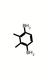 Bc1ccc(B)c(C)c1C